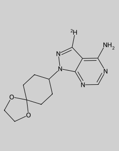 [2H]c1nn(C2CCC3(CC2)OCCO3)c2ncnc(N)c12